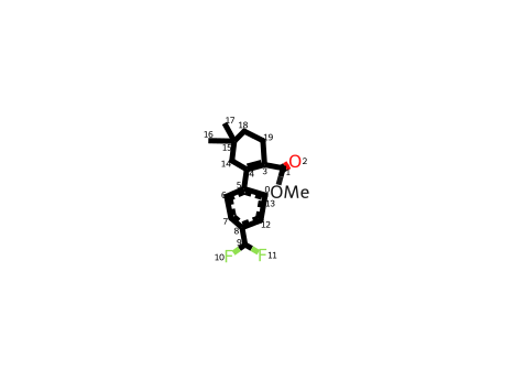 COC(=O)C1=C(c2ccc(C(F)F)cc2)CC(C)(C)CC1